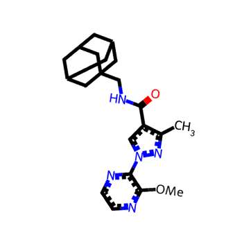 COc1nccnc1-n1cc(C(=O)NCC23CC4CC(CC(C4)C2)C3)c(C)n1